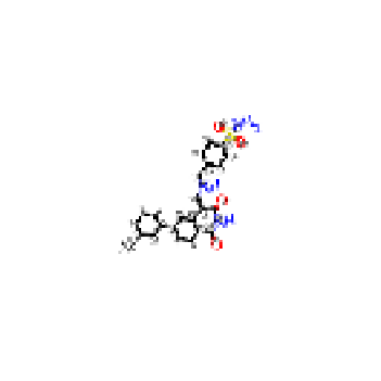 CC(=O)c1cccc(-c2ccc3c(c2)C(=CNCc2ccc(S(N)(=O)=O)cc2)C(=O)NC3=O)c1